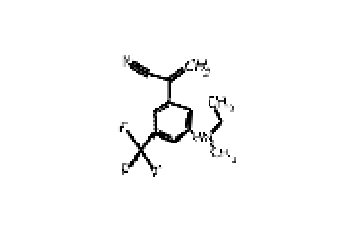 C=C(C#N)c1cccc(C(F)(F)F)c1.CCNC